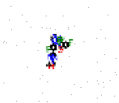 C[C@@H]1CN(c2ncc(-c3cc(NC(=O)c4ccc(F)cc4C(F)(F)F)c(N4CCN(C)[C@H](C)C4)cc3F)cn2)CCO1